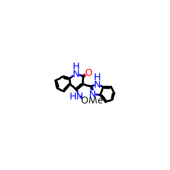 CONc1c(-c2nc3ccccc3[nH]2)c(=O)[nH]c2ccccc12